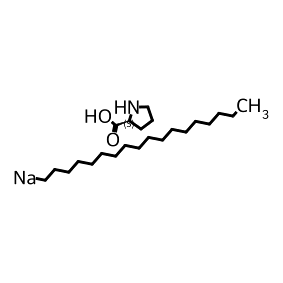 CCCCCCCCCCCCCCCCC[CH2][Na].O=C(O)[C@@H]1CCCN1